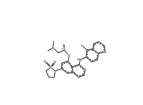 C[C@H](CN(C)C)Oc1cc(N2CCCS2(=O)=O)cc2ncnc(Nc3ccc4ncccc4c3F)c12